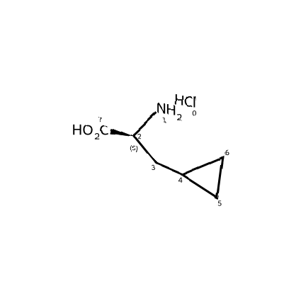 Cl.N[C@@H](CC1CC1)C(=O)O